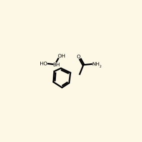 CC(N)=O.OBO.c1ccccc1